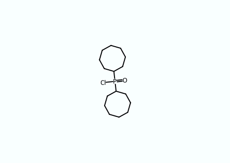 O=P(Cl)(C1CCCCCCC1)C1CCCCCCC1